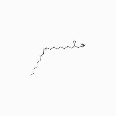 CCCCCCCC/C=C\CCCCCCCC(=O)CO